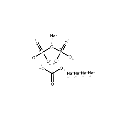 O=C([O-])O.O=P([O-])([O-])OP(=O)([O-])[O-].[Na+].[Na+].[Na+].[Na+].[Na+]